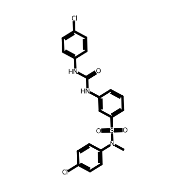 CN(c1ccc(Cl)cc1)S(=O)(=O)c1cccc(NC(=O)Nc2ccc(Cl)cc2)c1